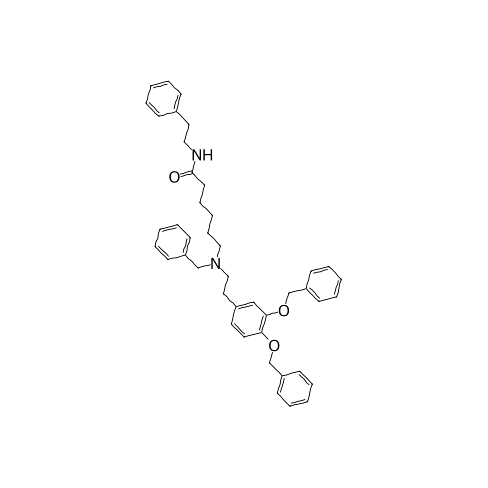 O=C(CCCCCN(CCc1ccc(OCc2ccccc2)c(OCc2ccccc2)c1)Cc1ccccc1)NCCc1ccccc1